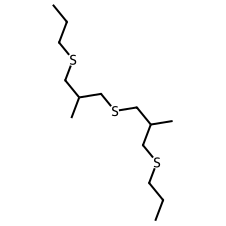 CCCSCC(C)CSCC(C)CSCCC